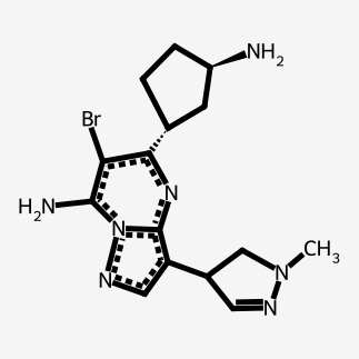 CN1CC(c2cnn3c(N)c(Br)c([C@@H]4CC[C@@H](N)C4)nc23)C=N1